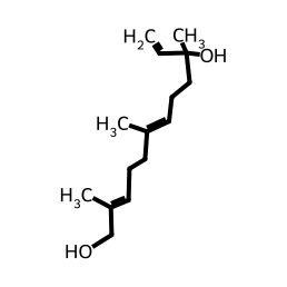 C=CC(C)(O)CC/C=C(\C)CC/C=C(\C)CO